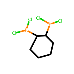 ClP(Cl)C1CCCCC1P(Cl)Cl